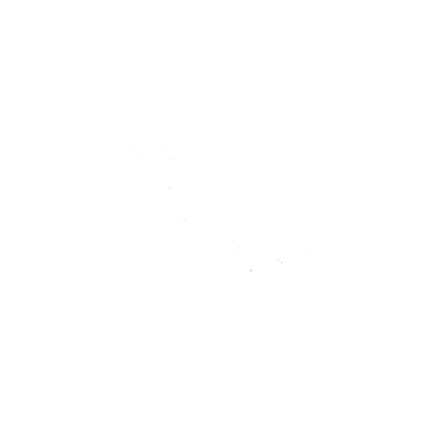 O=C1CCc2cc(CCCN3CCN(c4nsc5ccccc45)CC3)cc3c2N1CC3